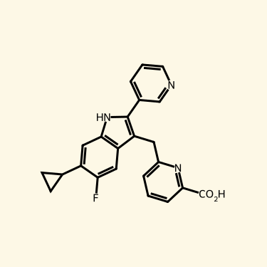 O=C(O)c1cccc(Cc2c(-c3cccnc3)[nH]c3cc(C4CC4)c(F)cc23)n1